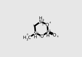 C[SiH]1C[SiH2]O[PH](=O)O1